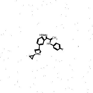 C=C(Nc1ccc(F)cc1)c1n[nH]c2ccc(-c3cnn(C4CC4)c3)cc12